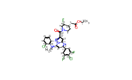 CCOC(=O)C[C@@H]1CCN(C(=O)c2cc3nc(-c4cc(F)c(Cl)c(F)c4)cc(N(C)c4ccccc4Cl)n3n2)C[C@@H]1F